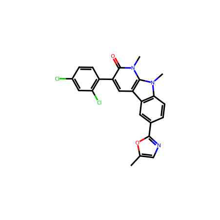 Cc1cnc(-c2ccc3c(c2)c2cc(-c4ccc(Cl)cc4Cl)c(=O)n(C)c2n3C)o1